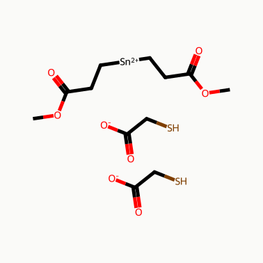 COC(=O)C[CH2][Sn+2][CH2]CC(=O)OC.O=C([O-])CS.O=C([O-])CS